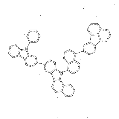 c1ccc(-n2c3ccccc3c3ccc(-c4ccc5c(c4)c4ccc6ccccc6c4n5-c4cccc5c(-c6ccc7c(c6)-c6cccc8cccc-7c68)cccc45)cc32)cc1